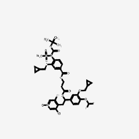 CC(C)(C)OC(=O)N(c1ccc(C(=O)OCCC(=O)OC(Cc2c(Cl)c[n+]([O-])cc2Cl)c2ccc(OC(F)F)c(OCC3CC3)c2)cc1OCC1CC1)S(C)(=O)=O